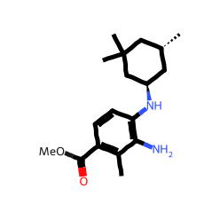 COC(=O)c1ccc(N[C@@H]2C[C@@H](C)CC(C)(C)C2)c(N)c1C